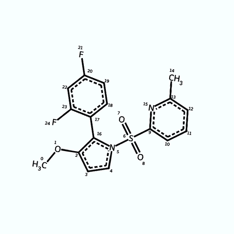 COc1ccn(S(=O)(=O)c2cccc(C)n2)c1-c1ccc(F)cc1F